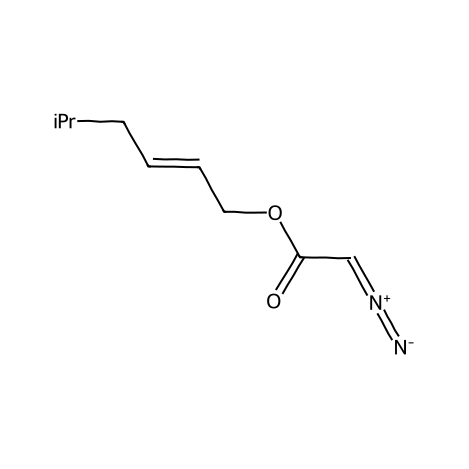 CC(C)CC=CCOC(=O)C=[N+]=[N-]